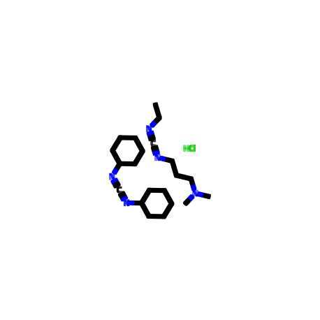 C(=NC1CCCCC1)=NC1CCCCC1.CCN=C=NCCCN(C)C.Cl